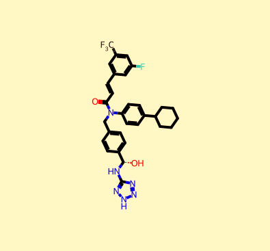 O=C(/C=C/c1cc(F)cc(C(F)(F)F)c1)N(Cc1ccc([C@H](O)Nc2nn[nH]n2)cc1)c1ccc(C2CCCCC2)cc1